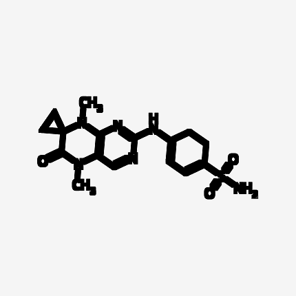 CN1C(=O)C2(CC2)N(C)c2nc(NC3=CC=C(S(N)(=O)=O)CC3)ncc21